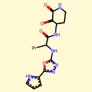 CC(C)C(Nc1nnc(-c2ccc[nH]2)o1)C(=O)NC1CCNC(=O)C1=O